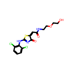 O=C(C=C1SC(Nc2c(Cl)cccc2Cl)=NC1=O)NCCOCCO